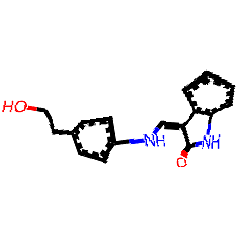 O=C1Nc2ccccc2C1=CNc1ccc(CCO)cc1